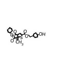 Cn1c(=O)n(Cc2ccccc2)c(=O)c2cc(C(=O)OCCc3ccc(O)cc3)sc21